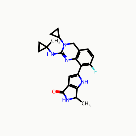 CC1NC(=O)c2cc(-c3c(F)ccc4c3N=C(NC3(C)CC3)N(C3CC3)C4)[nH]c21